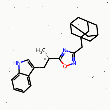 C[C@@H](Cc1c[nH]c2ccccc12)c1nc(CC23CC4CC(CC(C4)C2)C3)no1